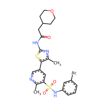 CC(=O)c1cccc(NS(=O)(=O)c2cc(-c3sc(NC(=O)CC4CCOCC4)nc3C)cnc2C)c1